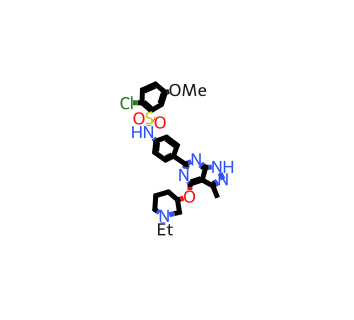 CCN1CCCC(Oc2nc(-c3ccc(NS(=O)(=O)c4cc(OC)ccc4Cl)cc3)nc3[nH]nc(C)c23)C1